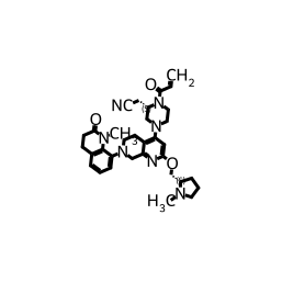 C=CC(=O)N1CCN(c2cc(OC[C@@H]3CCCN3C)nc3c2CCN(c2cccc4c2N(C)C(=O)CC4)C3)C[C@@H]1CC#N